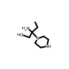 CCC(N)(CO)N1CCNCC1